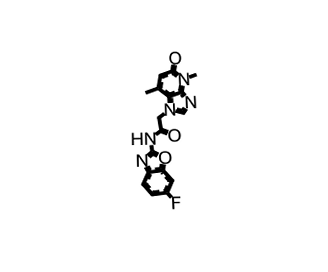 Cc1cc(=O)n(C)c2ncn(CC(=O)Nc3nc4ccc(F)cc4o3)c12